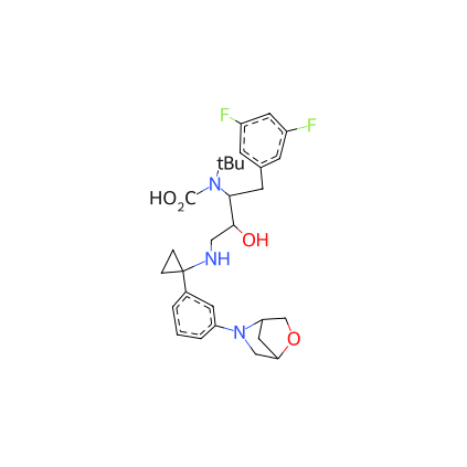 CC(C)(C)N(C(=O)O)C(Cc1cc(F)cc(F)c1)C(O)CNC1(c2cccc(N3CC4CC3CO4)c2)CC1